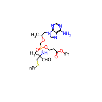 CCCSCC(C)(C=O)N[P@@](=O)(CO[C@H](C)Cn1cnc2c(N)ncnc21)OCCC(=O)OC(C)C